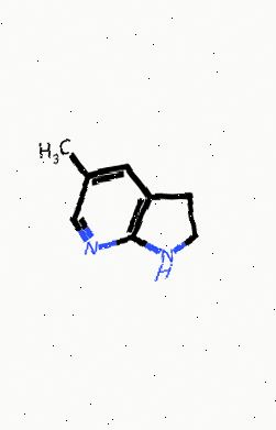 Cc1cnc2c(c1)CCN2